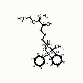 C=C(OCC)C(=O)CCCCO[Si]1(c2ccccc2)c2ccccc2C1(C)C